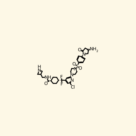 N[C@@H]1CC(=O)N(c2ccc(S(=O)(=O)N3CCN(c4cc(C(F)(F)[C@H]5CC[C@H](C(=O)NCC6CNC6)CC5)cc(Cl)n4)CC3)cc2)C1